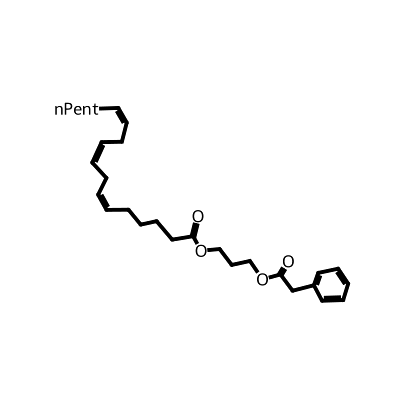 CCCCC/C=C\C/C=C\C/C=C\CCCCC(=O)OCCCOC(=O)Cc1ccccc1